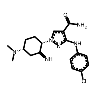 CN(C)[C@@H]1CC[C@H](n2cc(C(N)=O)c(Nc3ccc(Cl)cc3)n2)C(=N)C1